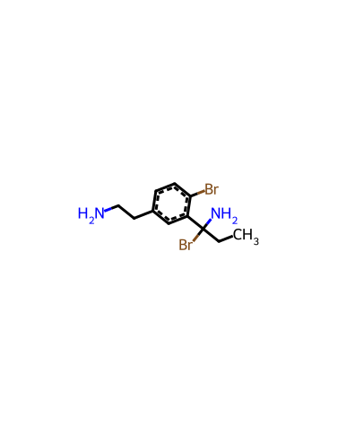 CCC(N)(Br)c1cc(CCN)ccc1Br